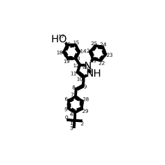 CC(C)(C)c1ccc(C=CC2=CC(c3ccc(O)cc3)N(c3ccccc3)N2)cc1